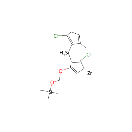 CC1=CCC(Cl)=C1[SiH2]C1=C(Cl)CC=C1OCO[Si](C)(C)C.[Zr]